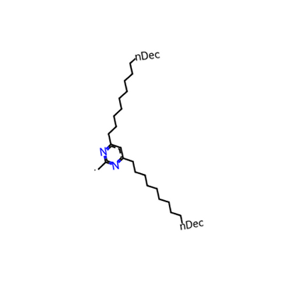 [CH2]c1nc(CCCCCCCCCCCCCCCCCCC)cc(CCCCCCCCCCCCCCCCCCC)n1